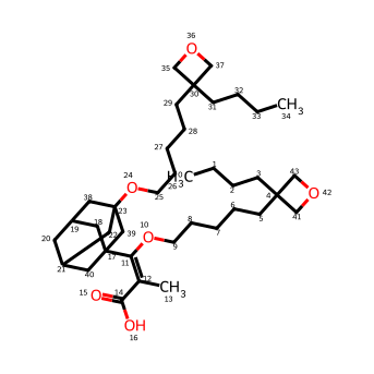 CCCCC1(CCCCCOC(=C(C)C(=O)O)C23CC4CC(CC(OCCCCCC5(CCCC)COC5)(C4)C2)C3)COC1